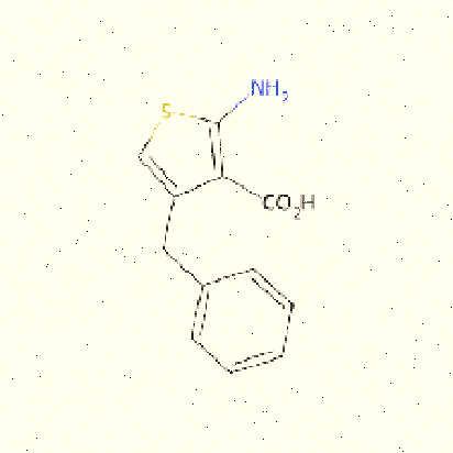 Nc1scc(Cc2ccccc2)c1C(=O)O